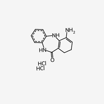 Cl.Cl.NC1=CCCC2=C1Nc1ccccc1NC2=O